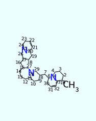 CC1CCCN2C(CC3CCC4CCCC(CC5CCC6C=CCCN6C5)CN4C3)CC=CC12